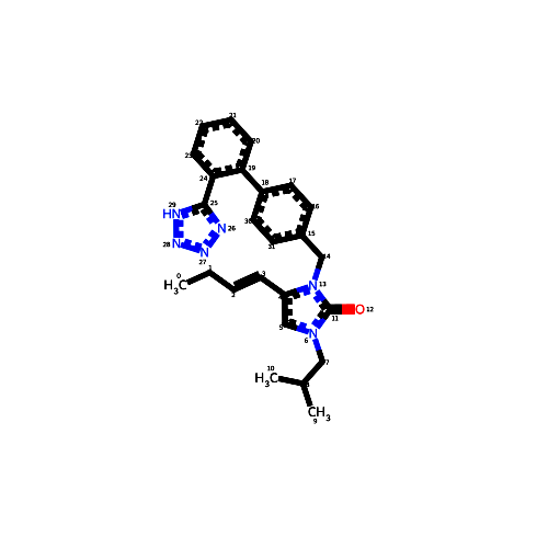 CCC=Cc1cn(CC(C)C)c(=O)n1Cc1ccc(-c2ccccc2-c2nnn[nH]2)cc1